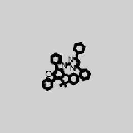 CC1(C)c2ccccc2-c2c1c1c3ccccc3oc1c1c3ccccc3n(-c3nc(-c4ccccc4)cc(-c4ccccc4)n3)c21